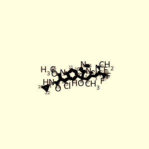 C=N/C(=C\C=C(/C)C(O)(c1ccc2nc(OC)c(C(=O)NC3CC3)c(Cl)c2c1)c1cncn1C)C(F)(F)F